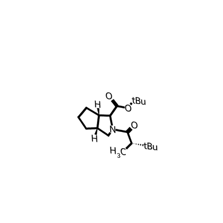 C[C@H](C(=O)N1C[C@@H]2CCC[C@@H]2C1C(=O)OC(C)(C)C)C(C)(C)C